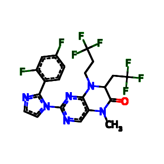 CN1C(=O)C(CC(F)(F)F)N(CCC(F)(F)F)c2nc(-n3ccnc3-c3ccc(F)cc3F)ncc21